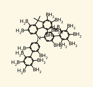 Bc1cc(N(c2cc(B)c(-c3c(B)c(B)c(B)c(B)c3B)c(B)c2)c2cc(B)c(-c3c(B)c(B)c(B)c(B)c3B)c(B)c2)c2c(c1B)C(C)(C)c1c(B)c(B)c(B)c(B)c1-2